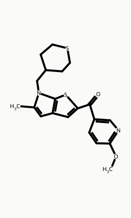 COc1ccc(C(=O)c2cc3cc(C)n(CC4CCSCC4)c3s2)cn1